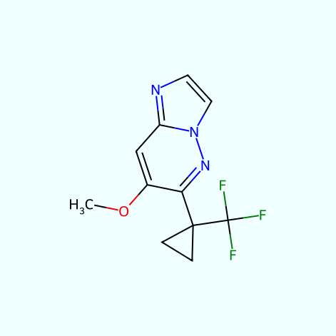 COc1cc2nccn2nc1C1(C(F)(F)F)CC1